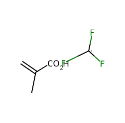 C=C(C)C(=O)O.F[C](F)F